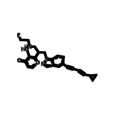 O=c1ccoc(C(CNCCF)Cn2ncc3cc(C#CC#CC4CC4)ccc32)c1O